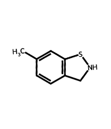 Cc1ccc2c(c1)SNC2